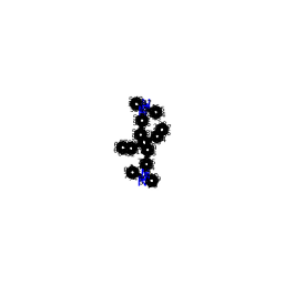 c1ccc(-c2nc3ccccc3n2-c2ccc(-c3ccc4c(-c5ccc6ccccc6c5)c5cc(-c6ccc(-n7c(-c8ccccc8)nc8ccccc87)cc6)ccc5c(-c5ccc6ccccc6c5)c4c3)cc2)cc1